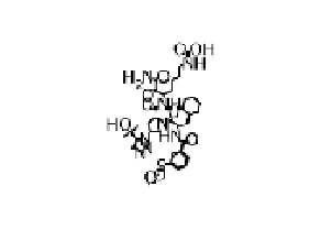 COOSc1cccc(C(=O)N[C@H](CC2CCCCC2)C(=O)N2C[C@@H](n3nncc3C(C)(C)O)C[C@H]2C(=O)NC(CCCCNC(=O)O)C(=O)C(N)=O)c1